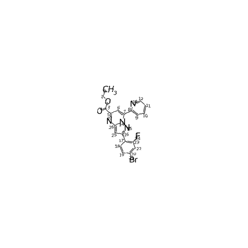 CCOC(=O)c1cc(-c2ccccn2)n2nc(-c3ccc(Br)cc3F)cc2n1